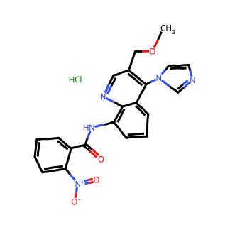 COCc1cnc2c(NC(=O)c3ccccc3[N+](=O)[O-])cccc2c1-n1ccnc1.Cl